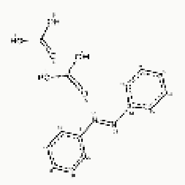 O=C(O)O.O=C(O)O.c1ccc(N=Nc2ccccc2)cc1